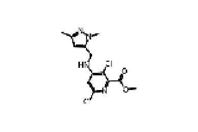 COC(=O)c1nc(Cl)cc(NCc2cc(C)nn2C)c1Cl